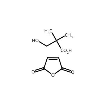 CC(C)(CO)C(=O)O.O=C1C=CC(=O)O1